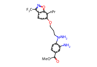 CCCc1c(OCCCN(N)c2ccc(C(=O)OC)cc2N)ccc2c(C(F)(F)F)noc12